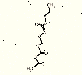 CCCN/[N+]([O-])=N/OCOC(=O)OC(C)C